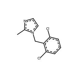 Cc1nccn1Cc1c(Cl)cccc1Cl